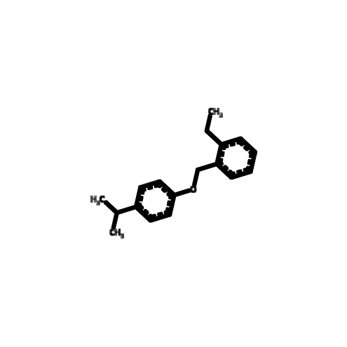 CCc1ccccc1COc1ccc(C(C)C)cc1